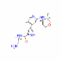 Cc1cnc(N[C@@H]2CCOC[C@H]2F)cc1-c1c[nH]c(C(=O)N[C@@H](C)CN)c1